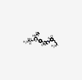 C/C(=C\c1cn(-c2ccc([C@@H]3C[C@@H](Nc4nccs4)C[C@@H](CCNC(=N)N)O3)cc2)c(=O)nc1C)c1cc(CCC[C@H](C)N)cc(Cl)c1F